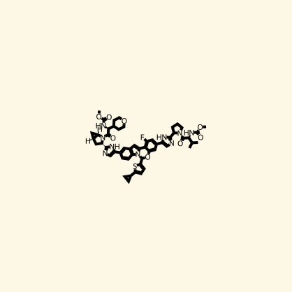 COC(=O)N[C@H](C(=O)N1CCCC1c1ncc(-c2cc(F)c3c(c2)OC(c2ccc(C4CC4)s2)n2c-3cc3cc(-c4cnc([C@@H]5C[C@H]6C[C@H]6N5C(=O)[C@@H](NC(=O)OC)C5CCOCC5)[nH]4)ccc32)[nH]1)C(C)C